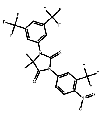 CC1(C)C(=O)N(c2ccc([N+](=O)[O-])c(C(F)(F)F)c2)C(=S)N1c1cc(C(F)(F)F)cc(C(F)(F)F)c1